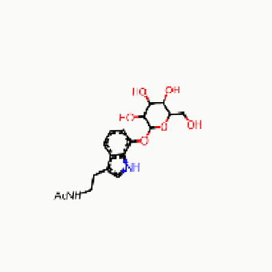 CC(=O)NCCc1c[nH]c2c(OC3OC(CO)C(O)C(O)C3O)cccc12